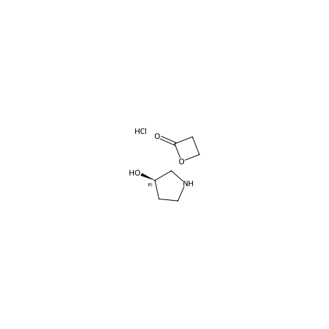 Cl.O=C1CCO1.O[C@@H]1CCNC1